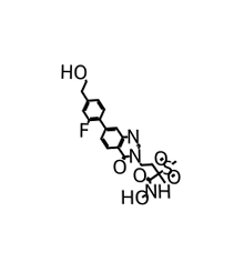 CC(CCn1cnc2cc(-c3ccc(CCO)cc3F)ccc2c1=O)(C(=O)NO)S(C)(=O)=O